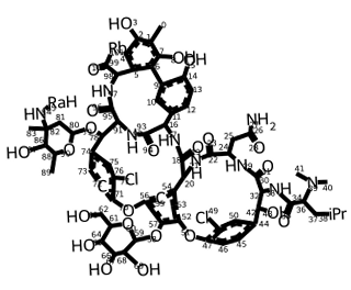 Cc1c(O)cc2c(c1O)-c1cc(ccc1O)C1NC(=O)C3NC(=O)C(CC(N)=O)NC(=O)C(NC(=O)C(CC(C)C)N(C)C)C(O)c4ccc(c(Cl)c4)Oc4cc3cc(c4OC3OC(CO)C(O)C(O)C3O)Oc3ccc(cc3Cl)C(OC3CC(C)([NH][RaH])C(O)C(C)O3)C(NC1=O)C(=O)NC2[C](=O)[Rb]